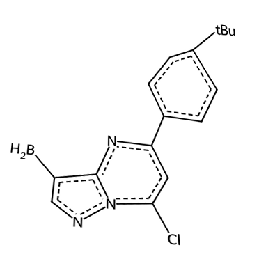 Bc1cnn2c(Cl)cc(-c3ccc(C(C)(C)C)cc3)nc12